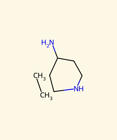 CC.NC1CCNCC1